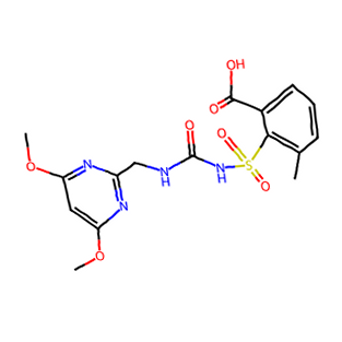 COc1cc(OC)nc(CNC(=O)NS(=O)(=O)c2c(C)cccc2C(=O)O)n1